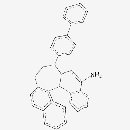 NC1=CC2C(c3ccc(-c4ccccc4)cc3)CCc3ccc4ccccc4c3C2c2ccccc21